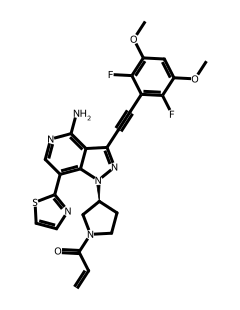 C=CC(=O)N1CC[C@H](n2nc(C#Cc3c(F)c(OC)cc(OC)c3F)c3c(N)ncc(-c4nccs4)c32)C1